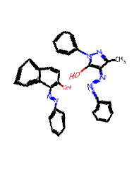 Cc1nn(-c2ccccc2)c(O)c1N=Nc1ccccc1.Oc1ccc2ccccc2c1N=Nc1ccccc1